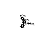 CCCCCOc1ccc(C2(OC)C=CC(c3ccccc3)=C(OCCCN)C2)cc1